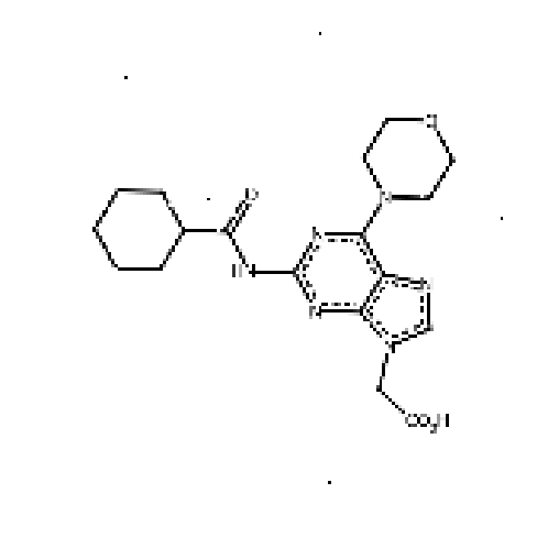 O=C(O)Cn1cnc2c(N3CCOCC3)nc(NC(=O)C3CCCCC3)nc21